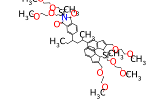 CCC(CC(C)c1ccc2c(c1)C=C(COCCOC)C2[Si](C)(COCCOC)C1C(COCCOC)=Cc2ccccc21)c1ccc2c(c1)C(=O)N([Si](C)(COCCOC)COCCOC)C2=O